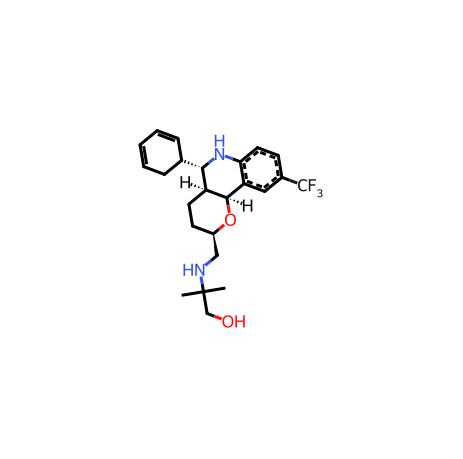 CC(C)(CO)NC[C@H]1CC[C@@H]2[C@H](O1)c1cc(C(F)(F)F)ccc1N[C@H]2C1C=CC=CC1